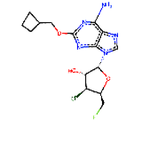 Nc1nc(OCC2CCC2)nc2c1ncn2[C@@H]1O[C@@H](CF)[C@@H](Cl)[C@@H]1O